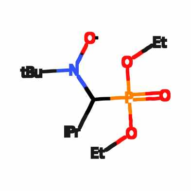 CCOP(=O)(OCC)C(C(C)C)N([O])C(C)(C)C